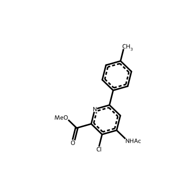 COC(=O)c1nc(-c2ccc(C)cc2)cc(NC(C)=O)c1Cl